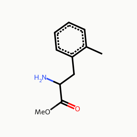 COC(=O)C(N)Cc1ccccc1C